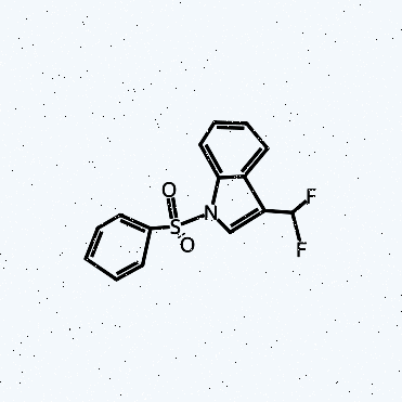 O=S(=O)(c1ccccc1)n1cc(C(F)F)c2ccccc21